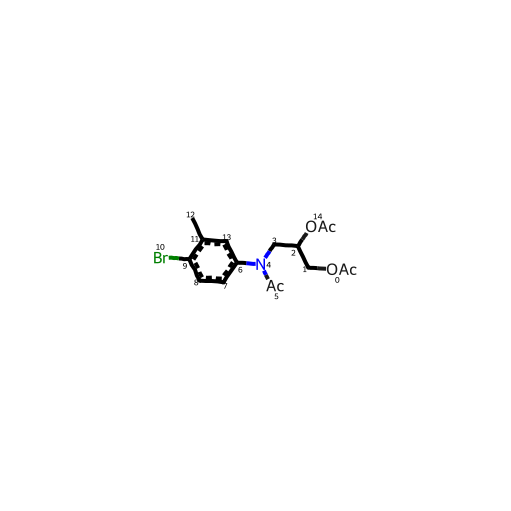 CC(=O)OCC(CN(C(C)=O)c1ccc(Br)c(C)c1)OC(C)=O